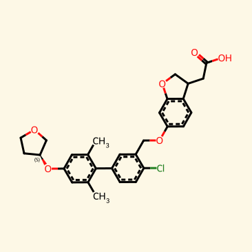 Cc1cc(O[C@H]2CCOC2)cc(C)c1-c1ccc(Cl)c(COc2ccc3c(c2)OCC3CC(=O)O)c1